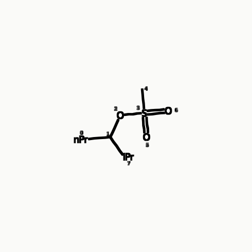 CCCC(OS(C)(=O)=O)C(C)C